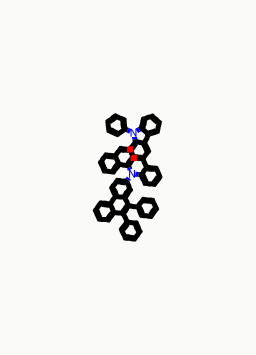 c1ccc(-c2c(-c3ccccc3)c3cc(N(c4ccccc4-c4ccc5c(c4)c4ccccc4n5-c4ccccc4)c4cccc5ccccc45)ccc3c3ccccc23)cc1